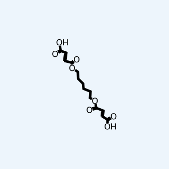 O=C(O)/C=C/C(=O)OCCCCCCOC(=O)/C=C/C(=O)O